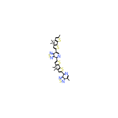 Cc1cc2c(s1)-c1sc(-c3cnc(-c4cc5c(s4)-c4sc(-c6ncc(C)c7nsnc67)cc4[Si]5(C)C)c4nsnc34)cc1[Si]2(C)C